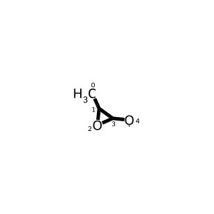 CC1OC1[O]